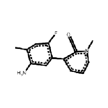 Cc1cc(F)c(-c2cccn(C)c2=O)cc1N